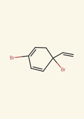 C=CC1(Br)C=CC(Br)=CC1